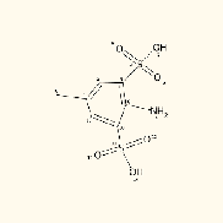 Cc1cc(S(=O)(=O)O)c(N)c(S(=O)(=O)O)c1